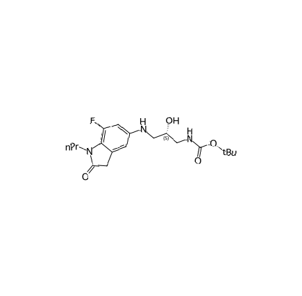 CCCN1C(=O)Cc2cc(NC[C@H](O)CNC(=O)OC(C)(C)C)cc(F)c21